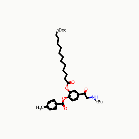 CCCCCCCCCCCCCCCCCCCCCC(=O)Oc1cc(C(=O)CNC(C)(C)C)ccc1OC(=O)c1ccc(C)cc1